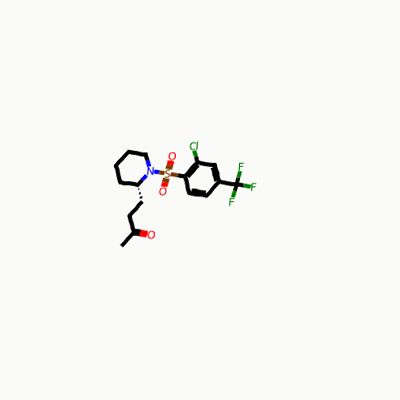 CC(=O)CC[C@@H]1CCCCN1S(=O)(=O)c1ccc(C(F)(F)F)cc1Cl